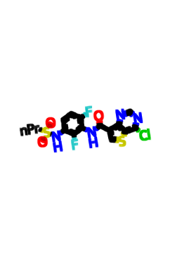 CCCS(=O)(=O)Nc1ccc(F)c(NC(=O)c2csc3c(Cl)ncnc23)c1F